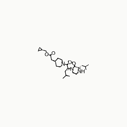 CC(C)C[C@@H]1NCCN([C@@H](CC(C)C)C(=O)N2CCC(CC(=O)OCC3CC3)CC2)C1=O